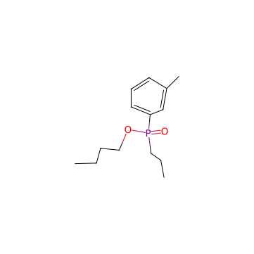 CCCCOP(=O)(CCC)c1cccc(C)c1